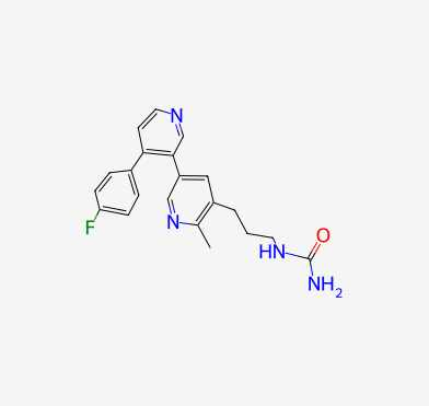 Cc1ncc(-c2cnccc2-c2ccc(F)cc2)cc1CCCNC(N)=O